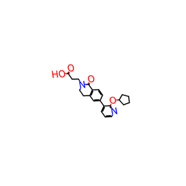 O=C(O)CCN1CCc2cc(-c3cccnc3OC3CCCC3)ccc2C1=O